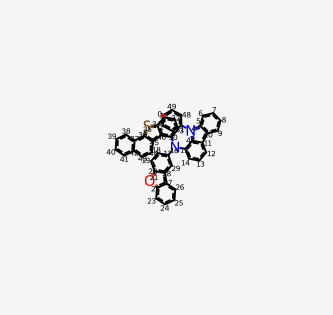 c1ccc(-n2c3ccccc3c3cccc(N(c4ccc5oc6ccccc6c5c4)c4cccc5sc6c7ccccc7ccc6c45)c32)cc1